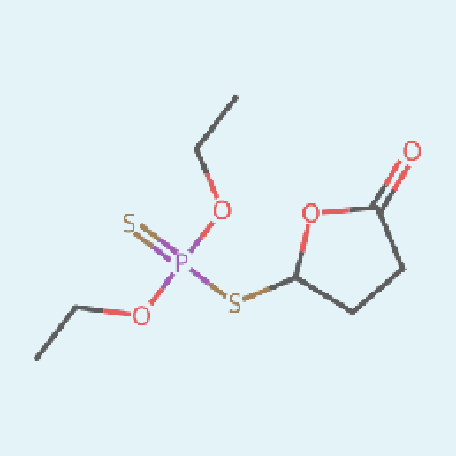 CCOP(=S)(OCC)SC1CCC(=O)O1